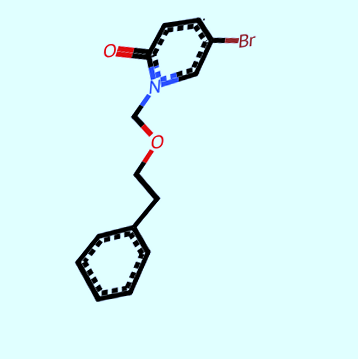 O=c1c[c]c(Br)cn1COCCc1ccccc1